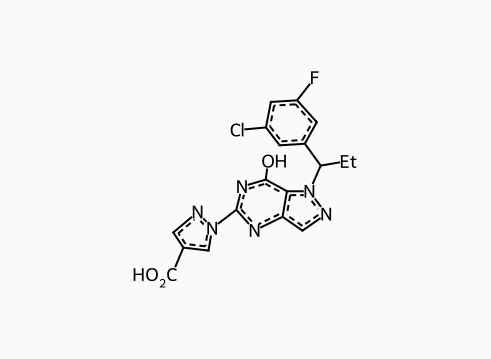 CCC(c1cc(F)cc(Cl)c1)n1ncc2nc(-n3cc(C(=O)O)cn3)nc(O)c21